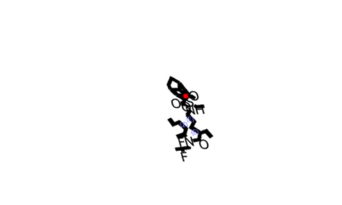 C=C/C=C\C(=C)N(CC(C)(F)F)C(=O)/C(C=C)=C/C=C/NC(=O)CC1C2=C3CCC(=C1CC2)C3S(=O)(=O)CC